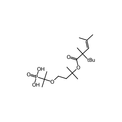 CC(C)=CC(C)(C(=O)OC(C)(C)CCOC(C)(C)P(=O)(O)O)C(C)(C)C